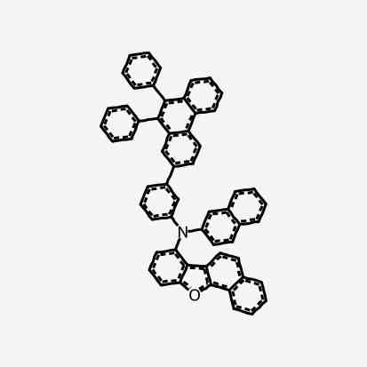 c1ccc(-c2c(-c3ccccc3)c3cc(-c4cccc(N(c5ccc6ccccc6c5)c5cccc6oc7c8ccccc8ccc7c56)c4)ccc3c3ccccc23)cc1